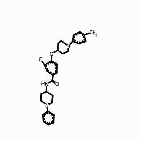 O=C(NC1CCN(c2ccccc2)CC1)c1ccc(OC2CCN(c3ccc(C(F)(F)F)cc3)CC2)c(F)c1